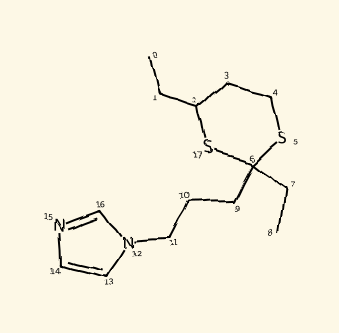 CCC1CCSC(CC)(CCCn2ccnc2)S1